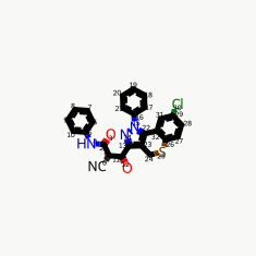 N#CC(C(=O)Nc1ccccc1)C(=O)c1nn(-c2ccccc2)c2c1CSc1ccc(Cl)cc1-2